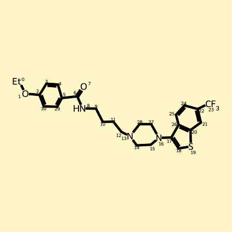 CCOc1ccc(C(=O)NCCCCN2CCN(c3csc4cc(C(F)(F)F)ccc34)CC2)cc1